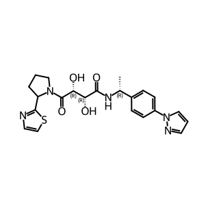 C[C@@H](NC(=O)[C@H](O)[C@@H](O)C(=O)N1CCCC1c1nccs1)c1ccc(-n2cccn2)cc1